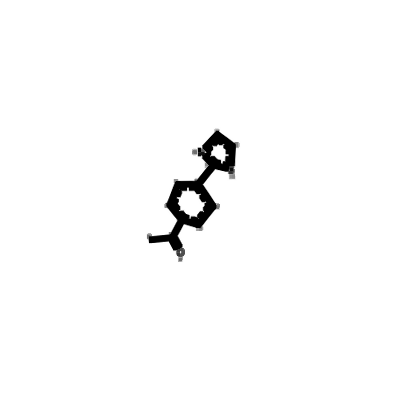 CC(=O)c1ccc(-c2nccs2)cc1